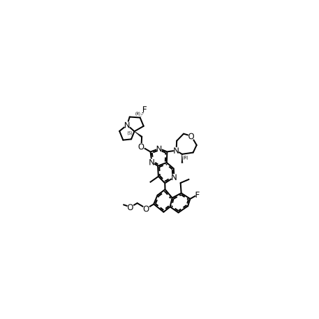 CCc1c(F)ccc2cc(OCOC)cc(-c3ncc4c(N5CCOCC[C@H]5C)nc(OC[C@@]56CCCN5C[C@H](F)C6)nc4c3C)c12